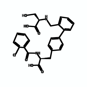 O=C(N[C@@H](Cc1ccc(-c2ccccc2CN[C@H](CO)C(=O)O)cc1)C(=O)O)c1ccccc1Cl